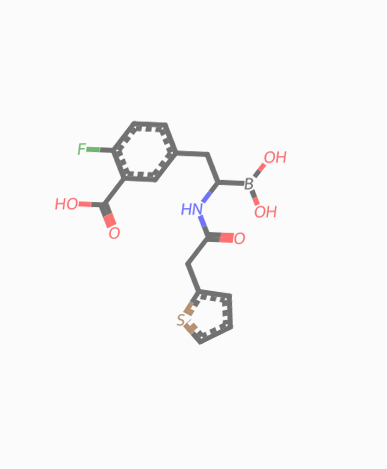 O=C(Cc1cccs1)NC(Cc1ccc(F)c(C(=O)O)c1)B(O)O